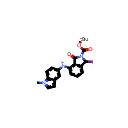 Cn1ccc2cc(Nc3cccc4c3C(=O)N(C(=O)OC(C)(C)C)C4I)ccc21